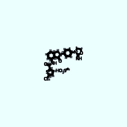 CS(=O)(=O)O.N=C1OCCN1c1ccc(N2Cc3cccc(NC(=O)c4ccc(Cl)s4)c3C2=O)cc1